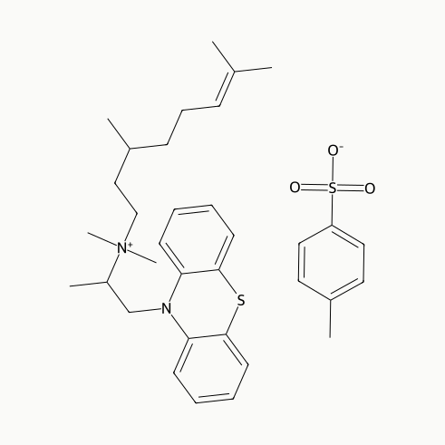 CC(C)=CCCC(C)CC[N+](C)(C)C(C)CN1c2ccccc2Sc2ccccc21.Cc1ccc(S(=O)(=O)[O-])cc1